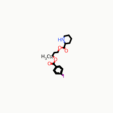 C[C@H](CCOC(=O)C1CCCCN1)OC(=O)c1ccc(I)cc1